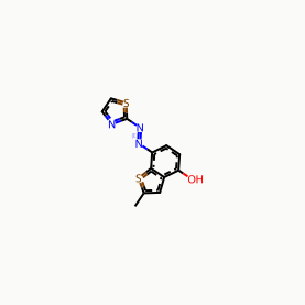 Cc1cc2c(O)ccc(/N=N/c3nccs3)c2s1